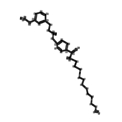 CCCCCCCCCCCCNC(=O)c1ccc(CNCCc2cccc(OC)c2)cc1